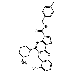 Cc1ccc(CNC(=O)c2csc3c(=O)n(Cc4ccccc4C#N)c(N4CCCC(N)C4)nc23)cc1